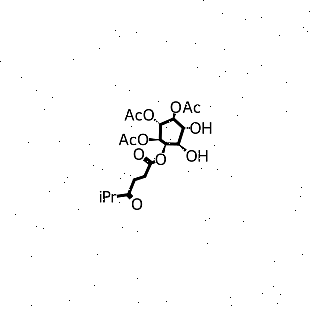 CC(=O)O[C@H]1[C@H](OC(C)=O)[C@@H](OC(C)=O)[C@H](O)[C@@H](O)[C@H]1OC(=O)CCC(=O)C(C)C